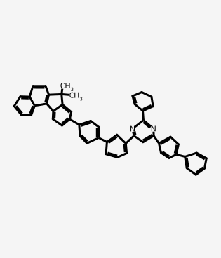 CC1(C)c2cc(-c3ccc(-c4cccc(-c5cc(-c6ccc(-c7ccccc7)cc6)nc(C6=CCCC=C6)n5)c4)cc3)ccc2-c2c1ccc1ccccc21